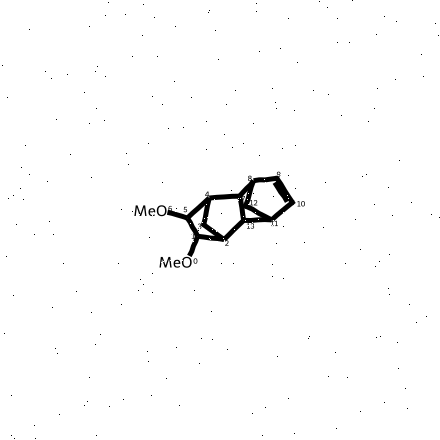 COC1C2CC(C1OC)C1C3C=CC(C3)C21